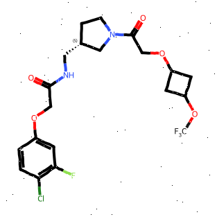 O=C(COc1ccc(Cl)c(F)c1)NC[C@@H]1CCN(C(=O)COC2CC(OC(F)(F)F)C2)C1